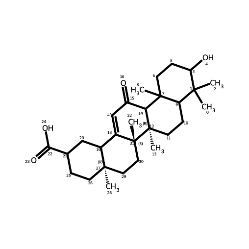 CC1(C)C(O)CCC2(C)C1CC[C@]1(C)C2C(=O)C=C2C3CC(C(=O)O)CC[C@]3(C)CC[C@]21C